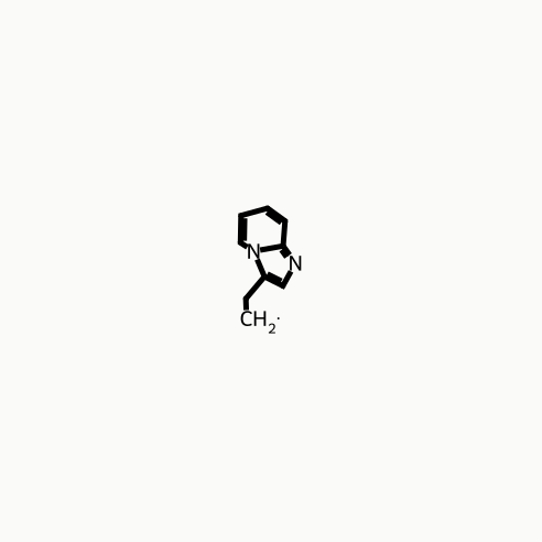 [CH2]Cc1cnc2ccccn12